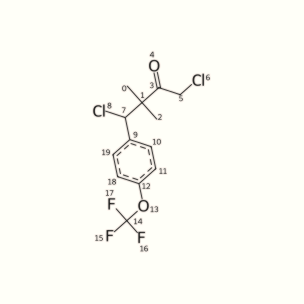 CC(C)(C(=O)CCl)C(Cl)c1ccc(OC(F)(F)F)cc1